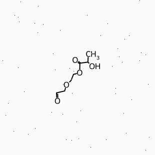 CC(O)C(=O)OCCOCC=O